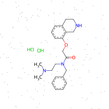 CN(C)CCN(Cc1ccccc1)C(=O)COc1cccc2c1CNCC2.Cl.Cl